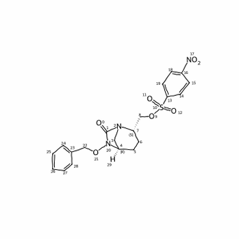 O=C1N2C[C@@H](CC[C@H]2COS(=O)(=O)c2ccc([N+](=O)[O-])cc2)N1OCc1ccccc1